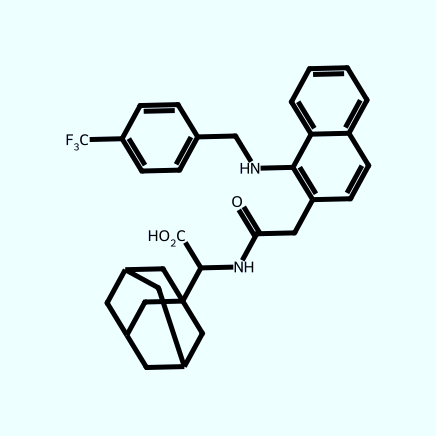 O=C(Cc1ccc2ccccc2c1NCc1ccc(C(F)(F)F)cc1)NC(C(=O)O)C12CC3CC(CC(C3)C1)C2